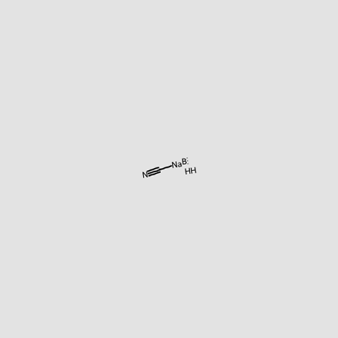 N#[C][Na].[B].[HH]